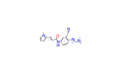 CN(C)/C=N/c1ccc(NC(=O)/C=C/c2cccn2C)cc1C#N